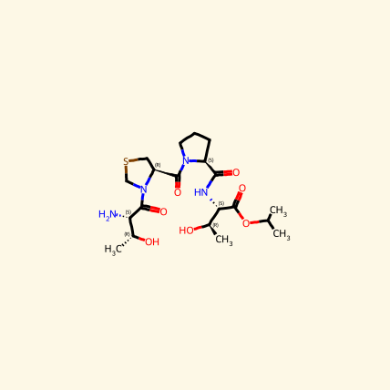 CC(C)OC(=O)[C@@H](NC(=O)[C@@H]1CCCN1C(=O)[C@@H]1CSCN1C(=O)[C@@H](N)[C@@H](C)O)[C@@H](C)O